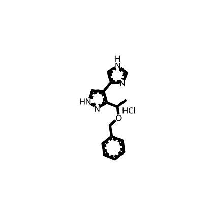 CC(OCc1ccccc1)c1n[nH]cc1-c1c[nH]cn1.Cl